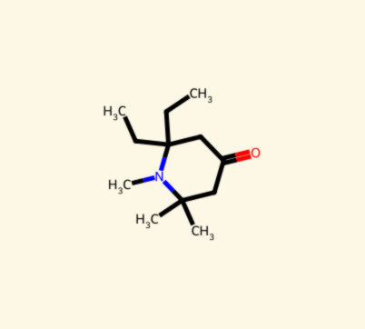 CCC1(CC)CC(=O)CC(C)(C)N1C